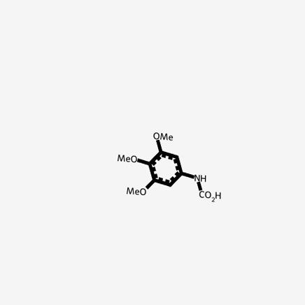 COc1cc(NC(=O)O)cc(OC)c1OC